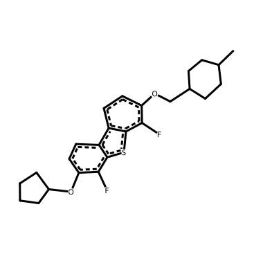 CC1CCC(COc2ccc3c(sc4c(F)c(OC5CCCC5)ccc43)c2F)CC1